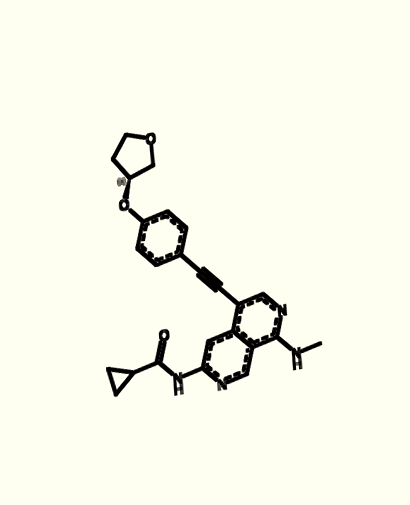 CNc1ncc(C#Cc2ccc(O[C@H]3CCOC3)cc2)c2cc(NC(=O)C3CC3)ncc12